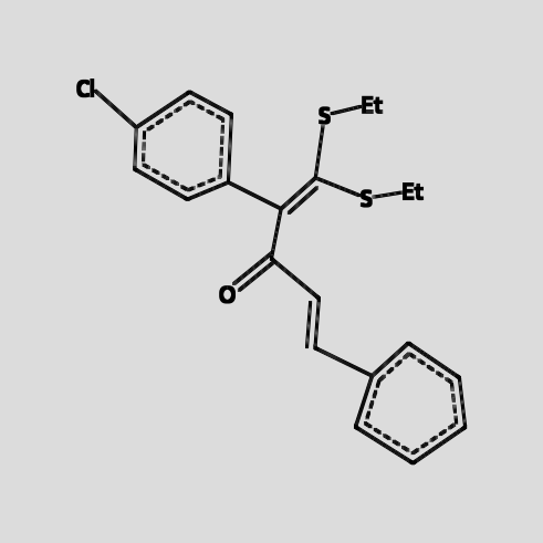 CCSC(SCC)=C(C(=O)/C=C/c1ccccc1)c1ccc(Cl)cc1